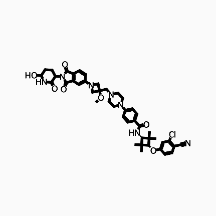 COC1(CN2CCN(c3ccc(C(=O)N[C@H]4C(C)(C)[C@H](Oc5ccc(C#N)c(Cl)c5)C4(C)C)cc3)CC2)CN(c2ccc3c(c2)C(=O)N(C2CCC(O)NC2=O)C3=O)C1